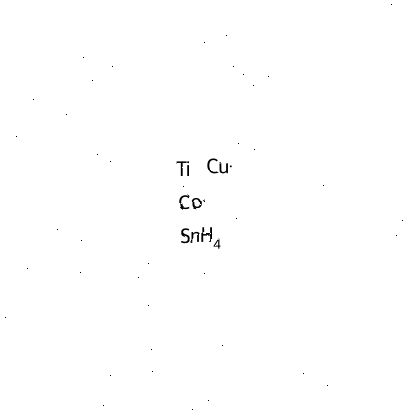 [Co].[Cu].[SnH4].[Ti]